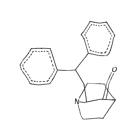 O=C1C2CCN(CC2)C1C(c1ccccc1)c1ccccc1